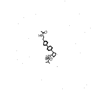 CC(=O)NCCc1ccc(-c2ccc(C3CCCC3NS(=O)(=O)C(C)C)cc2)cc1